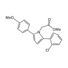 COC(=O)Cn1c(-c2ccc(OC)cc2)ccc1-c1ccccc1Cl